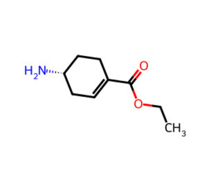 CCOC(=O)C1=CC[C@H](N)CC1